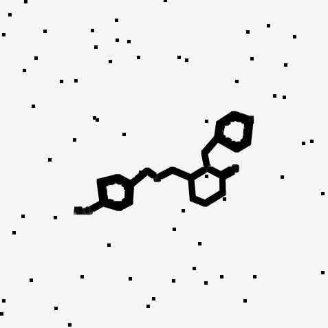 COc1ccc(COCC2CCCC(=O)N2Cc2ccncc2)cc1